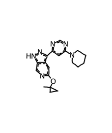 CC1(Oc2cc3c(-c4cc(N5CCCCC5)ncn4)n[nH]c3cn2)CC1